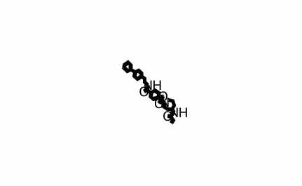 C=CC(=O)NC1CCCN(S(=O)(=O)c2ccc(C(=O)NCCc3ccc(-c4ccccc4)cc3)cc2)CC1